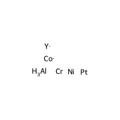 [AlH3].[Co].[Cr].[Ni].[Pt].[Y]